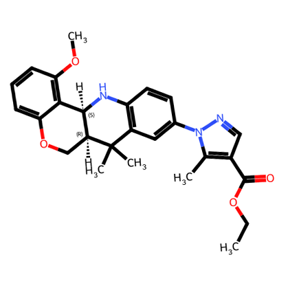 CCOC(=O)c1cnn(-c2ccc3c(c2)C(C)(C)[C@H]2COc4cccc(OC)c4[C@H]2N3)c1C